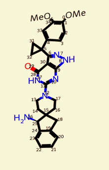 COc1ccc(C2(c3n[nH]c4nc(N5CCC6(CC5)Cc5ccccc5[C@H]6N)[nH]c(=O)c34)CC2)cc1OC